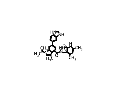 Cc1cc(C)c(CN(N)C(=O)c2cc(-c3ccc4c(c3)NCN4)cc3c2c(C)cn3C(C)C)c(=O)[nH]1